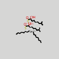 CC(C)CCCCCC(O)C([O-])=S.CC(C)CCCCCC(O)C([O-])=S.CCCCCCC[CH2][Sn+2][CH2]CCCCCCC